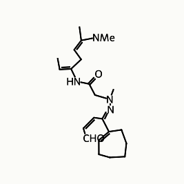 C/C=C(\C/C=C(/C)NC)NC(=O)CN(C)/N=C(\C=C/C=O)C1=CCCCCC1